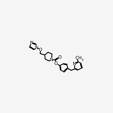 Cc1cccc(Cc2ccc(OC(=O)N3CCC(COn4ccnc4)CC3)cc2)n1